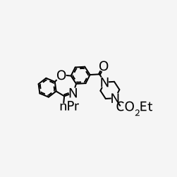 CCCC1=Nc2cc(C(=O)N3CCN(C(=O)OCC)CC3)ccc2Oc2ccccc21